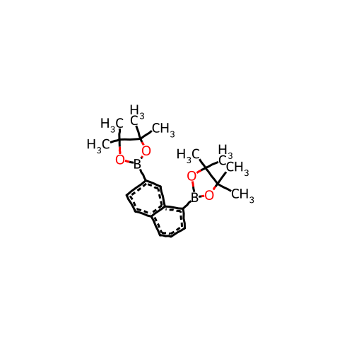 CC1(C)OB(c2ccc3cccc(B4OC(C)(C)C(C)(C)O4)c3c2)OC1(C)C